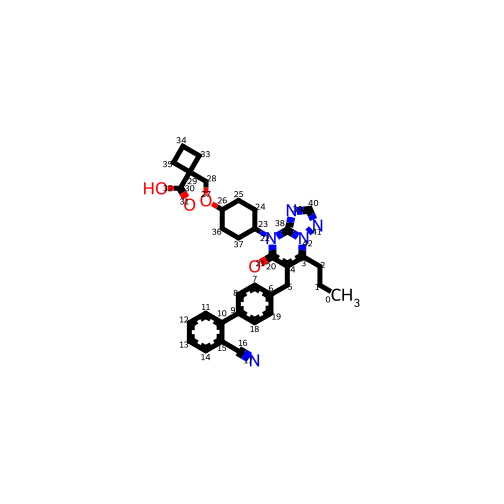 CCCc1c(Cc2ccc(-c3ccccc3C#N)cc2)c(=O)n(C2CCC(OCC3(C(=O)O)CCC3)CC2)c2ncnn12